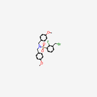 COc1ccc(CN(Cc2ccc(OC)cc2)S(=O)(=O)c2cccc(CBr)c2F)cc1